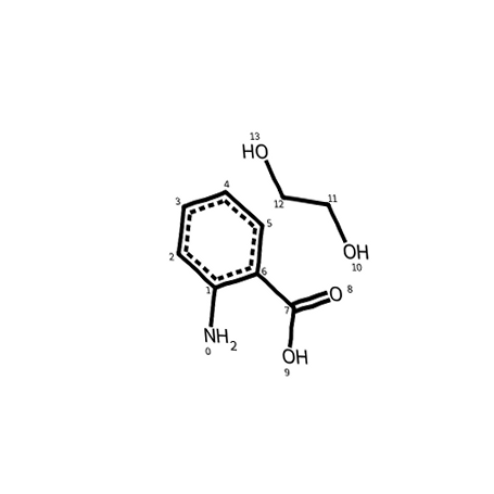 Nc1ccccc1C(=O)O.OCCO